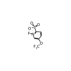 O=S(=O)([O-])c1ccc(OC(F)(F)F)c[n+]1F